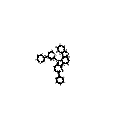 c1ccc(-c2ccc3c(n2)c2ccc4sc5ccccc5c4c2n3-c2cc(-c3cccnc3)ccn2)cc1